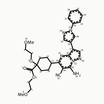 COCCOC(=O)C1(OCCOC)CCC(c2nc3c(-c4cnn(-c5ccccc5)c4)cnn3c(N)c2C#N)CC1